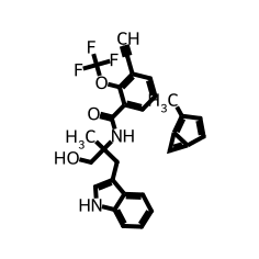 C#Cc1cccc(C(=O)NC(C)(CO)Cc2c[nH]c3ccccc23)c1OC(F)(F)F.Cc1ccc2cc1-2